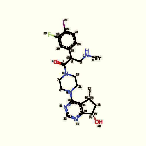 CC(C)NC[C@@H](C(=O)N1CCN(c2ncnc3c2[C@H](C)C[C@@H]3O)CC1)c1ccc(I)c(F)c1